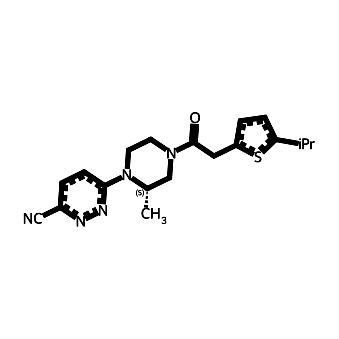 CC(C)c1ccc(CC(=O)N2CCN(c3ccc(C#N)nn3)[C@@H](C)C2)s1